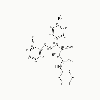 O=C(NC1CCCCC1)c1cn(Cc2ccccc2Cl)n(-c2ccc(Br)cc2)c1=O